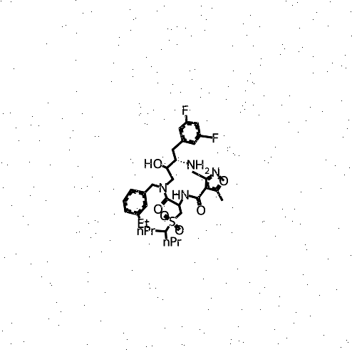 CCCC(CCC)S(=O)(=O)CC(NC(=O)c1c(C)noc1C)C(=O)N(Cc1cccc(CC)c1)CC(O)[C@@H](N)Cc1cc(F)cc(F)c1